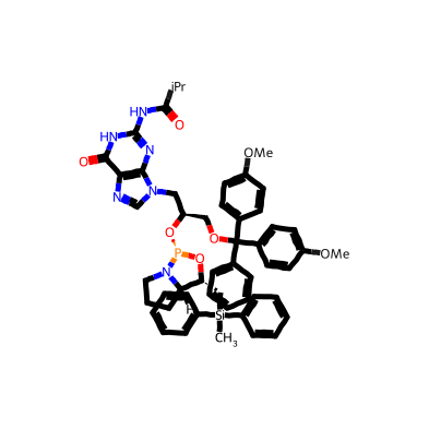 COc1ccc(C(OC[C@H](Cn2cnc3c(=O)[nH]c(NC(=O)C(C)C)nc32)O[P@]2O[C@H](C[Si](C)(c3ccccc3)c3ccccc3)[C@@H]3CCCN32)(c2ccccc2)c2ccc(OC)cc2)cc1